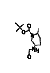 CC1CCC(NC=O)CN1C(=O)OC(C)(C)C